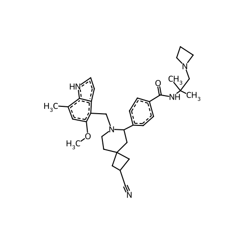 COc1cc(C)c2[nH]ccc2c1CN1CCC2(CC(C#N)C2)CC1c1ccc(C(=O)NC(C)(C)CN2CCC2)cc1